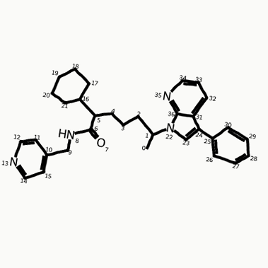 CC(CCCC(C(=O)NCc1ccncc1)C1CCCCC1)n1cc(-c2ccccc2)c2cccnc21